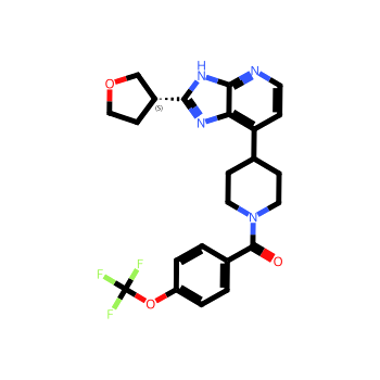 O=C(c1ccc(OC(F)(F)F)cc1)N1CCC(c2ccnc3[nH]c([C@@H]4CCOC4)nc23)CC1